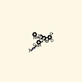 COc1cc(OC)c(Cl)c(-c2cc3cnc(Nc4ccccc4)nc3n(Cc3cccc(NC(=O)/C=C/CN(C)C)c3)c2=O)c1